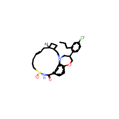 CCCc1cc(Cl)ccc1C1COc2ccc3cc2N(C1)CC1CC[C@H]1C/C=C/CCC[S+]([O-])NC3=O